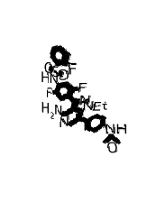 CCn1nc(-c2cc(F)c(NS(=O)(=O)c3ccccc3F)cc2F)c2c(N)ncc(C3=CC[C@H](NC4COC4)CC3)c21